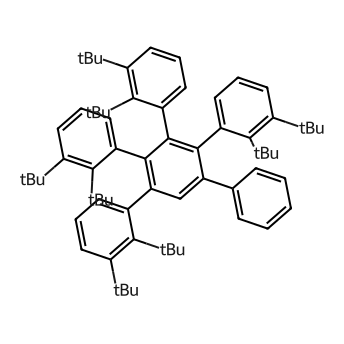 CC(C)(C)c1cccc(-c2cc(-c3ccccc3)c(-c3cccc(C(C)(C)C)c3C(C)(C)C)c(-c3cccc(C(C)(C)C)c3C(C)(C)C)c2-c2cccc(C(C)(C)C)c2C(C)(C)C)c1C(C)(C)C